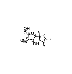 CCCC(C)(CCC)C1OC(OO)C(N=O)C1O